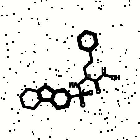 O=C(NO)[C@H](CCc1ccccc1)[AsH]S(=O)(=O)c1ccc2c3c(sc2c1)CCCC3